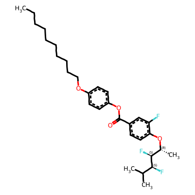 CCCCCCCCCCOc1ccc(OC(=O)c2ccc(O[C@H](C)[C@H](F)[C@@H](F)C(C)C)c(F)c2)cc1